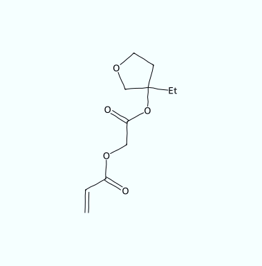 C=CC(=O)OCC(=O)OC1(CC)CCOC1